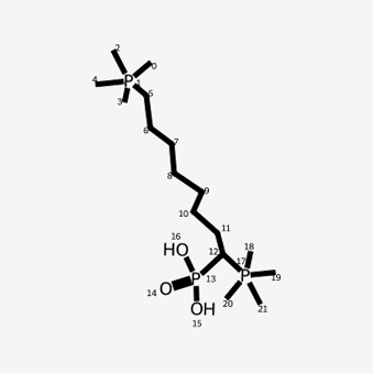 CP(C)(C)(C)CCCCCCCC(P(=O)(O)O)P(C)(C)(C)C